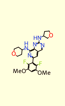 COc1cc(OC)c(F)c(-c2cc3cnc(NC4CCOC4)nc3c(NC3CCOCC3)n2)c1F